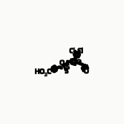 O=C(O)c1ccc(CCN2C(=O)C(=Cc3ccc(OCCN4CCOCC4)c(-c4ccc(Cl)c(Cl)c4)c3)SC2=S)cc1